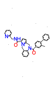 Cc1cc(C(=O)N2Cc3ccc(C(=O)NCc4ccccn4)n3Cc3ccccc32)ccc1-c1ccccc1